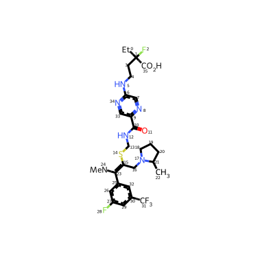 CCC(F)(CCNc1cnc(C(=O)NCS/C(CN2CCCC2C)=C(\NC)c2cc(F)cc(C(F)(F)F)c2)cn1)C(=O)O